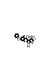 Cc1cc(Oc2ccccc2)cc(C)c1C(=O)c1c[nH]c2nccc(N)c12